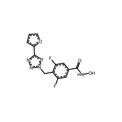 O=C(NO)c1cc(F)c(Cn2nnc(-c3ccco3)n2)c(F)c1